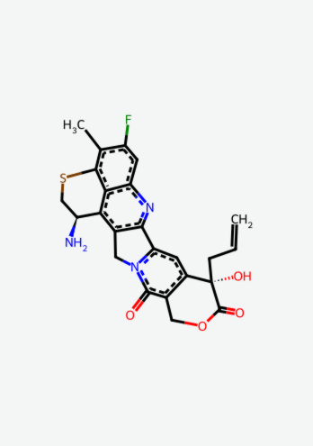 C=CC[C@@]1(O)C(=O)OCc2c1cc1n(c2=O)Cc2c-1nc1cc(F)c(C)c3c1c2[C@@H](N)CS3